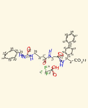 O=C(O)C(F)(F)F.O=C(O)CC(NC(=O)CNC(=O)CCCNC(=O)NCc1ccccc1)c1ccc(-c2ccccc2)cc1